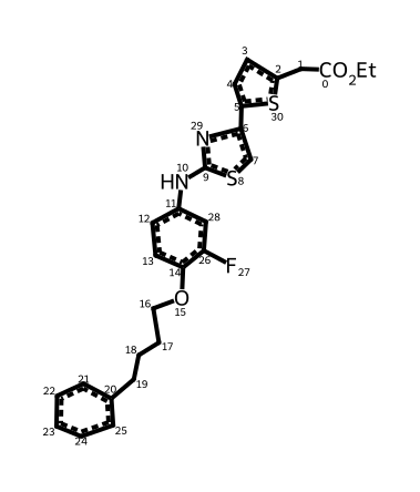 CCOC(=O)Cc1ccc(-c2csc(Nc3ccc(OCCCCc4ccccc4)c(F)c3)n2)s1